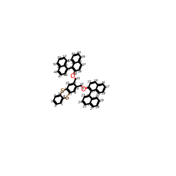 c1ccc2c(c1)Sc1cc(COc3ccc4ccccc4c3-c3cccc4ccccc34)c(COc3ccc4ccccc4c3-c3cccc4ccccc34)cc1S2